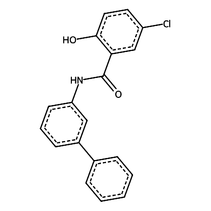 O=C(Nc1cccc(-c2ccccc2)c1)c1cc(Cl)ccc1O